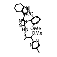 COc1cccc(OC)c1-n1c(NSC(C)C(OC)c2ncc(C)cn2)nnc1-c1n[nH]c2c1CCCC2